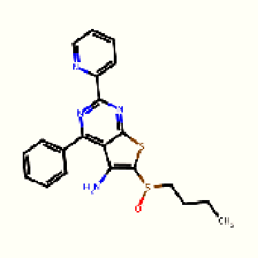 CCCC[S+]([O-])c1sc2nc(-c3ccccn3)nc(-c3ccccc3)c2c1N